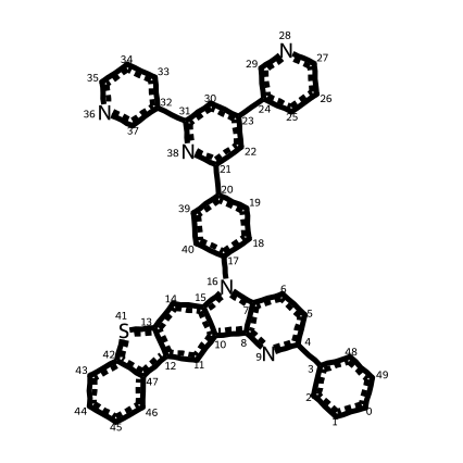 c1ccc(-c2ccc3c(n2)c2cc4c(cc2n3-c2ccc(-c3cc(-c5cccnc5)cc(-c5cccnc5)n3)cc2)sc2ccccc24)cc1